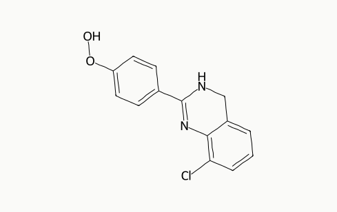 OOc1ccc(C2=Nc3c(Cl)cccc3CN2)cc1